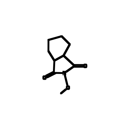 CON1C(=O)C2CCCCC2C1=O